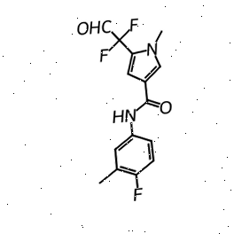 Cc1cc(NC(=O)c2cc(C(F)(F)C=O)n(C)c2)ccc1F